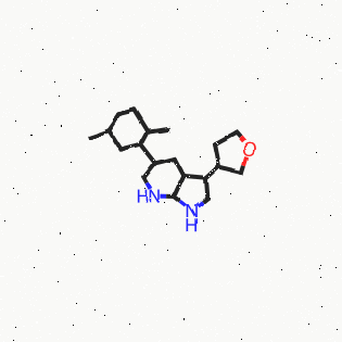 CC1CCC(C)C(C2CNC3NCC(C4CCOC4)C3C2)C1